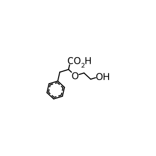 O=C(O)C(Cc1ccccc1)OCCO